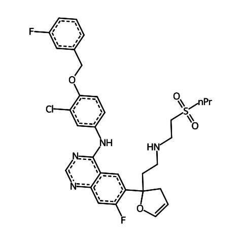 CCCS(=O)(=O)CCNCCC1(c2cc3c(Nc4ccc(OCc5cccc(F)c5)c(Cl)c4)ncnc3cc2F)CC=CO1